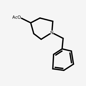 CC(=O)OC1CCN(Cc2ccccc2)CC1